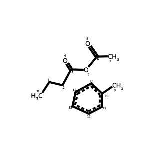 CCCC(=O)OC(C)=O.Cc1ccccc1